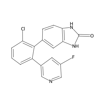 O=c1[nH]c2ccc(-c3c(Cl)cccc3-c3cncc(F)c3)cc2[nH]1